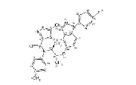 Cc1ccc(N(C(=O)c2ncc(C)s2)[C@@H](C)[C@@H](C)Oc2ccc3c(cnn3-c3ccc(F)cc3)c2)cc1